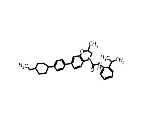 CCC1CCC(c2ccc(-c3ccc4c(c3)OC(C)CN4C(=O)Nc3ccccc3C(C)C)cc2)CC1